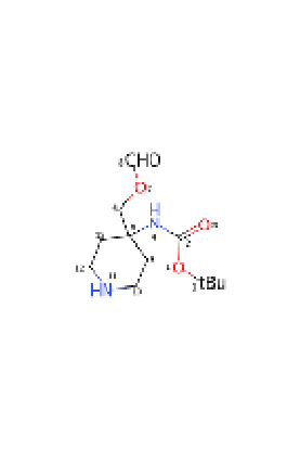 CC(C)(C)OC(=O)NC1(COC=O)CCNCC1